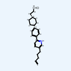 C=CCCCc1ccc(-c2ccc([C@H]3CC[C@H](CCC=O)CC3)cc2)nc1